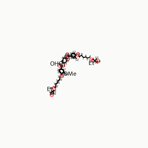 CCC1(COCCCCCCOc2ccc(C(=O)OC3(C=O)CCC(C=O)(OC(=O)c4ccc(OCCCCCCOCC5(CC)COC5)c(OC)c4)CC3)cc2C)COC1